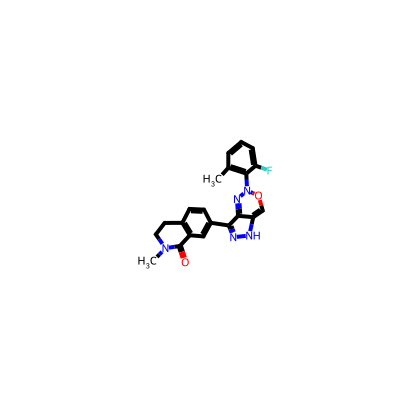 Cc1cccc(F)c1N1N=c2c(-c3ccc4c(c3)C(=O)N(C)CC4)n[nH]c2=CO1